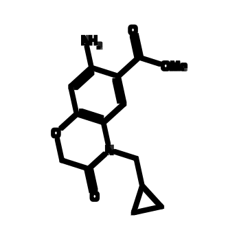 COC(=O)c1cc2c(cc1N)OCC(=O)N2CC1CC1